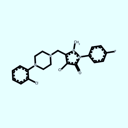 Cn1c(CN2CCN(c3ccccc3Cl)CC2)c(Cl)c(=O)n1-c1ccc(F)cc1